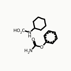 NC(=O)Oc1ccccc1.O=C(O)NC1CCCCC1